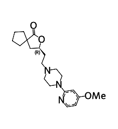 COc1ccnc(N2CCN(CC[C@H]3CC4(CCCC4)C(=O)O3)CC2)c1